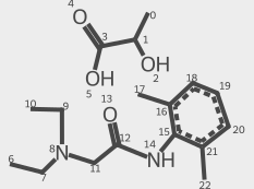 CC(O)C(=O)O.CCN(CC)CC(=O)Nc1c(C)cccc1C